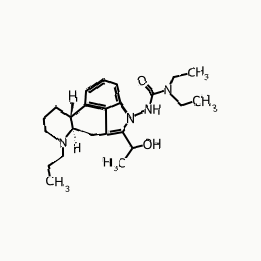 CCCN1CCC[C@@H]2c3cccc4c3c(c(C(C)O)n4NC(=O)N(CC)CC)C[C@H]21